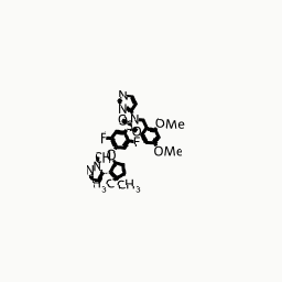 COc1ccc(CN(c2ccncn2)S(=O)(=O)c2cc(F)c(O[C@H]3CCC(C)(C)[C@@H]3c3ccnn3C)cc2F)c(OC)c1